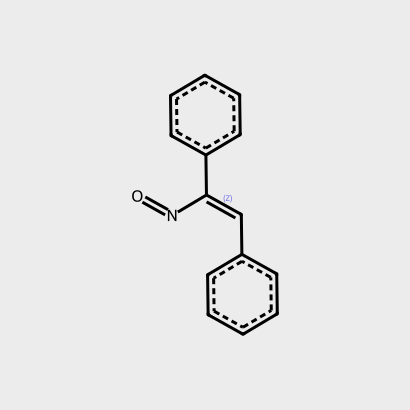 O=N/C(=C\c1ccccc1)c1ccccc1